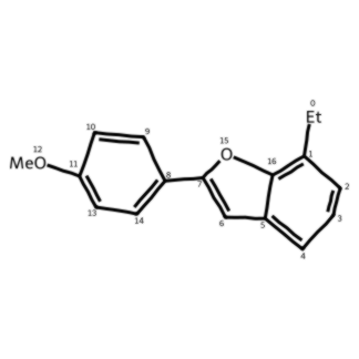 CCc1cccc2cc(-c3ccc(OC)cc3)oc12